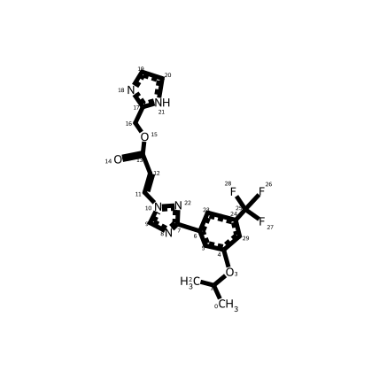 CC(C)Oc1cc(-c2ncn(C=CC(=O)OCc3ncc[nH]3)n2)cc(C(F)(F)F)c1